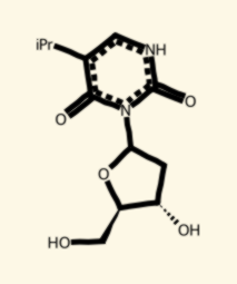 CC(C)c1c[nH]c(=O)n(C2C[C@H](O)[C@@H](CO)O2)c1=O